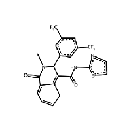 CN1C(=O)C2=CC=CCC2=C(C(=O)Nc2nccs2)C1c1cc(C(F)(F)F)cc(C(F)(F)F)c1